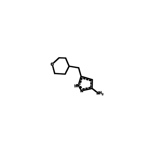 Nc1cc(CC2CCOCC2)[nH]n1